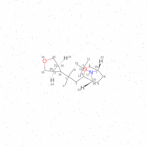 CC(C)(CC1OC[C@@H]2CC[C@H]1N2C(C)(C)C)C1[C@H]2COC[C@@H]12